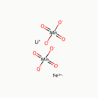 [Fe+3].[Li+].[O]=[Mn](=[O])([O-])[O-].[O]=[Mn](=[O])([O-])[O-]